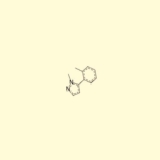 Cc1ccc[c]c1-c1ccnn1C